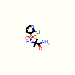 CC(C)(NS(=O)(=O)c1cccnc1Cl)C(N)=O